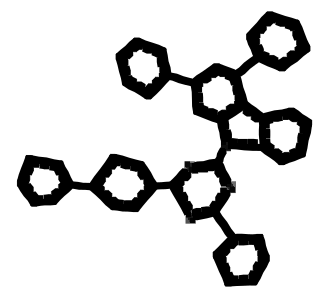 c1ccc(-c2ccc(-c3nc(-c4ccccc4)nc(-n4c5ccccc5c5c(-c6ccccc6)cc(-c6ccccc6)cc54)n3)cc2)cc1